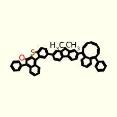 CC1(C)c2cc(-c3ccc4sc5c6oc7ccccc7c6c6ccccc6c5c4c3)ccc2-c2ccc(-c3ccccccc(-c4ccccc4)c4ccccc34)cc21